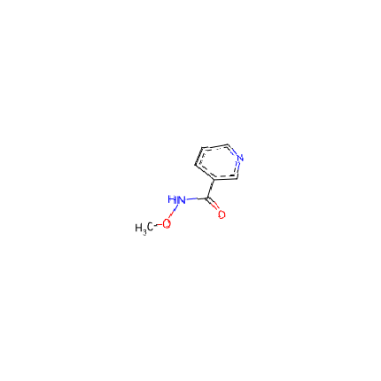 CONC(=O)c1cccnc1